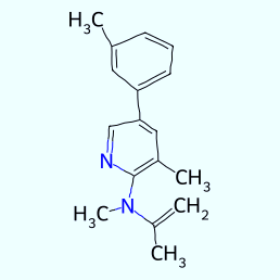 C=C(C)N(C)c1ncc(-c2cccc(C)c2)cc1C